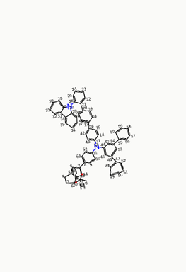 C[C@H]1CC2CC3CC(c4ccc(N(c5ccc(-c6ccc(-c7ccccc7-n7c8ccccc8c8ccccc87)cc6)cc5)c5cc(-c6ccccc6)cc(-c6ccccc6)c5)cc4)(C1)C[C@@H]3C2